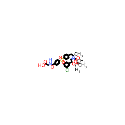 C[C@H](Cc1ccc(S(=O)(=O)c2ccc(C(=O)NCC(=O)O)cc2)cc1)N(C[C@H](O)c1cccc(Cl)c1)C(=O)OC(C)(C)C